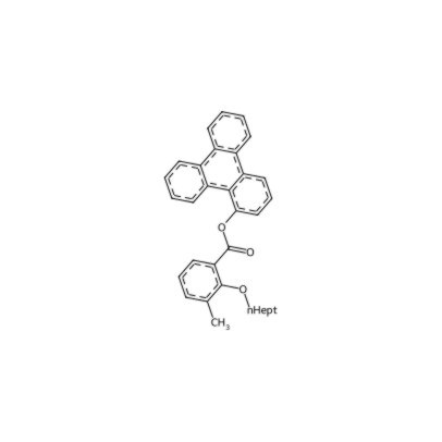 CCCCCCCOc1c(C)cccc1C(=O)Oc1cccc2c3ccccc3c3ccccc3c12